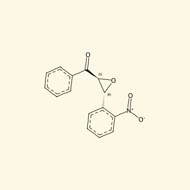 O=C(c1ccccc1)[C@H]1O[C@@H]1c1ccccc1[N+](=O)[O-]